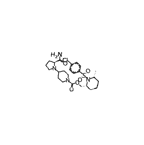 C[C@@H]1CCC[C@H](COC(=O)N2CCC(N3CCC[C@H]3C(N)=O)CC2)N1S(=O)(=O)c1ccc(Cl)cc1